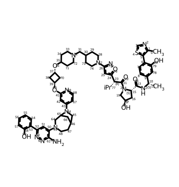 Cc1ncsc1-c1ccc([C@H](C)NC(=O)[C@@H]2C[C@@H](O)CN2C(=O)[C@@H](c2cc(N3CCC(CN4CCC(O[C@H]5C[C@H](Oc6cc(N7CC8CCN(c9cc(-c%10ccccc%10O)nnc9N)CC7C8)ccn6)C5)CC4)CC3)no2)C(C)C)cc1O